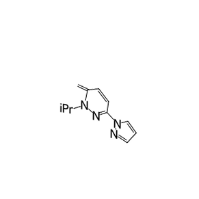 C=C1C=CC(n2cccn2)=NN1C(C)C